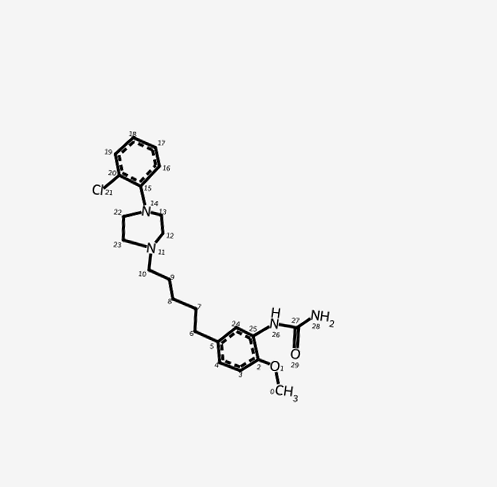 COc1ccc(CCCCCN2CCN(c3ccccc3Cl)CC2)cc1NC(N)=O